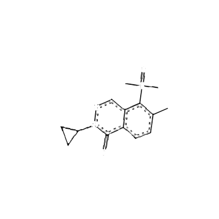 Cc1ccc2c(=O)n(C3CC3)ncc2c1P(C)(C)=O